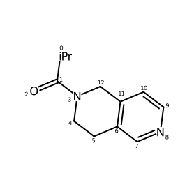 CC(C)C(=O)N1CCc2cnccc2C1